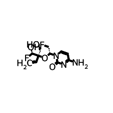 C=C[C@](CO)(O[C@H](CF)n1ccc(N)nc1=O)[C@@H](O)F